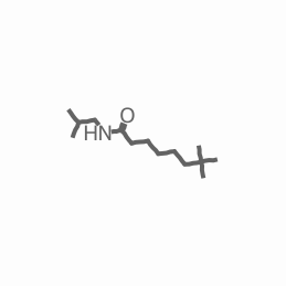 CC(C)CNC(=O)CCCCCC(C)(C)C